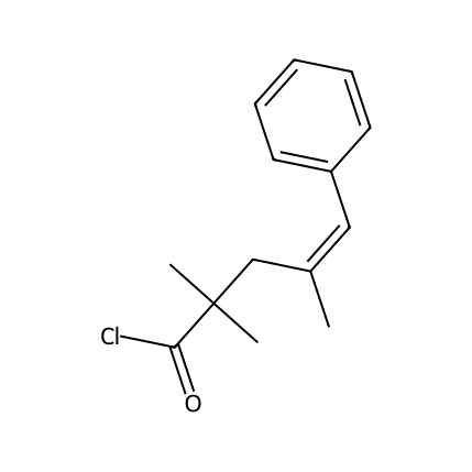 CC(=Cc1ccccc1)CC(C)(C)C(=O)Cl